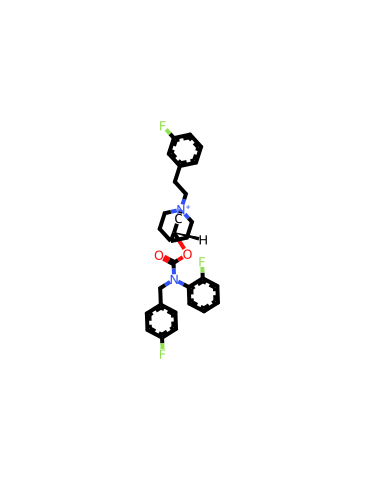 O=C(O[C@H]1C[N+]2(CCc3cccc(F)c3)CCC1CC2)N(Cc1ccc(F)cc1)c1ccccc1F